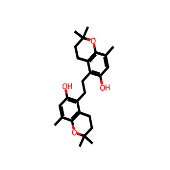 Cc1cc(O)c(CCc2c(O)cc(C)c3c2CCC(C)(C)O3)c2c1OC(C)(C)CC2